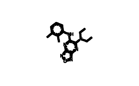 CCN(CC)c1nc2nonc2nc1Nc1cccc(C)c1C